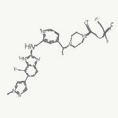 CC(c1ccnc(Nc2nc3ccc(-c4cnn(C)c4)c(F)c3[nH]2)c1)N1CCN(C(=O)CC(F)(F)F)CC1